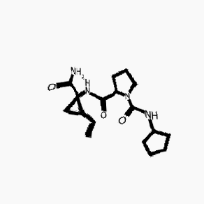 C=CC1CC1(NC(=O)C1CCCN1C(=O)NC1CCCC1)C(N)=O